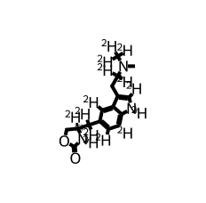 [2H]c1c(C([2H])([2H])[C@@]2([2H])COC(=O)N2[2H])c([2H])c2c(CC([2H])([2H])N(C)C([2H])([2H])[2H])c([2H])n([2H])c2c1[2H]